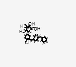 OC[C@H]1O[C@@H](c2ccc(Cl)c(Cc3ccc(Sc4ccccc4)nn3)c2)[C@H](O)[C@@H](O)[C@@H]1O